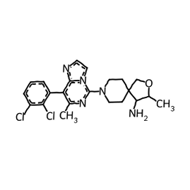 Cc1nc(N2CCC3(CC2)COC(C)C3N)n2ccnc2c1-c1cccc(Cl)c1Cl